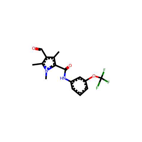 Cc1c(C=O)c(C)n(C)c1C(=O)Nc1cccc(OC(F)(F)F)c1